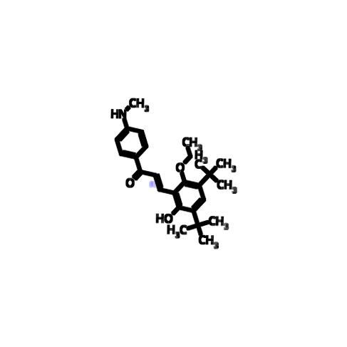 CCOc1c(C(C)(C)C)cc(C(C)(C)C)c(O)c1/C=C/C(=O)c1ccc(NC)cc1